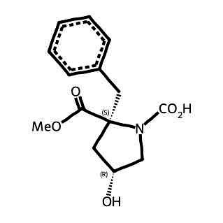 COC(=O)[C@]1(Cc2ccccc2)C[C@@H](O)CN1C(=O)O